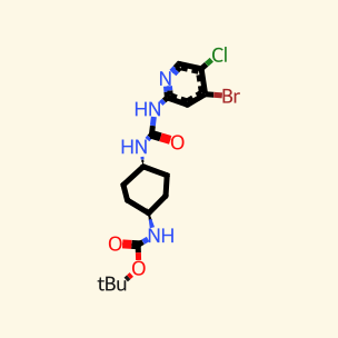 CC(C)(C)OC(=O)N[C@H]1CC[C@H](NC(=O)Nc2cc(Br)c(Cl)cn2)CC1